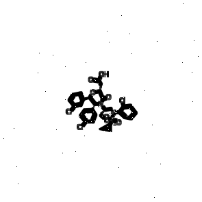 CC[C@@H](CN(c1ccccc1Cl)S(=O)(=O)C1CC1)N1C(=O)[C@@H](CC(=O)O)O[C@H](c2cccc(Cl)c2)[C@H]1c1ccc(Cl)cc1